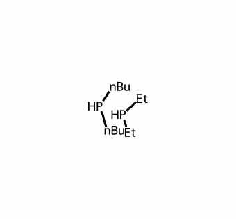 CCCCPCCCC.CCPCC